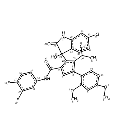 COc1cc(OC)c(-n2cc(C(=O)Nc3ccc(F)c(F)c3)c(C3(O)C(=O)Nc4cc(Cl)ccc43)c2C(C)C)cn1